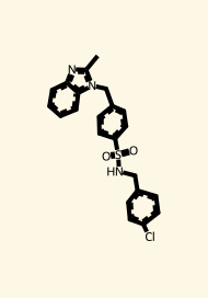 Cc1nc2ccccc2n1Cc1ccc(S(=O)(=O)NCc2ccc(Cl)cc2)cc1